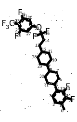 Cc1ccc(C2CCC(C3CCC(CCC(F)(F)Oc4cc(F)c(C(F)(F)F)c(F)c4)CC3)CC2)c(F)c1F